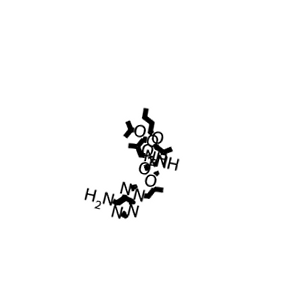 CCCCOC(=O)C(C)NP(=O)(COC(C)Cn1cnc2c(N)ncnc21)NCC(C)C(=O)OC(C)C